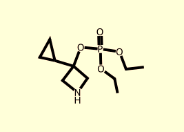 CCOP(=O)(OCC)OC1(C2CC2)CNC1